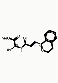 COC(=O)[C@@H](NC(O)/C=C/[C@@H]1OCCc2ccccc21)C(C)C